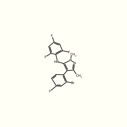 Cc1nn(C)c(Nc2c(F)cc(F)cc2F)c1-c1ccc(F)cc1Br